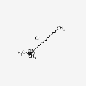 CCCCCCCCCCCCCCCCCCOC[N+](C)(C)CCC.[Cl-]